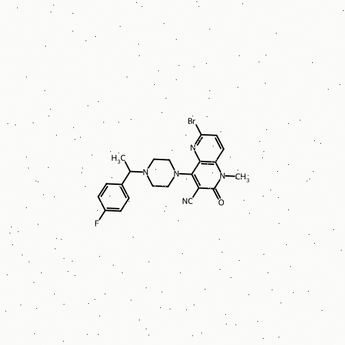 CC(c1ccc(F)cc1)N1CCN(c2c(C#N)c(=O)n(C)c3ccc(Br)nc23)CC1